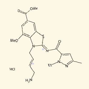 CCn1nc(C)cc1C(=O)/N=c1\sc2cc(C(=O)OC)cc(OC)c2n1C/C=C/CN.Cl